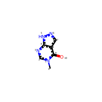 Cn1cnc2[nH]ncc2c1=O